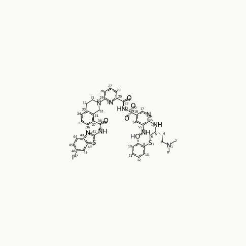 CN(C)CC[C@H](CSc1ccccc1)Nc1ncc(S(=O)(=O)NC(=O)c2cccc(N3CCc4cccc(C(=O)Nc5nc6ccc(F)cc6s5)c4C3)n2)cc1NO